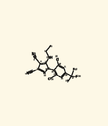 CCNc1c(C#N)c(C#N)nn1-c1c(Cl)cc(C(F)(F)F)cc1Cl